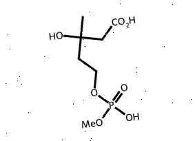 COP(=O)(O)OCCC(C)(O)CC(=O)O